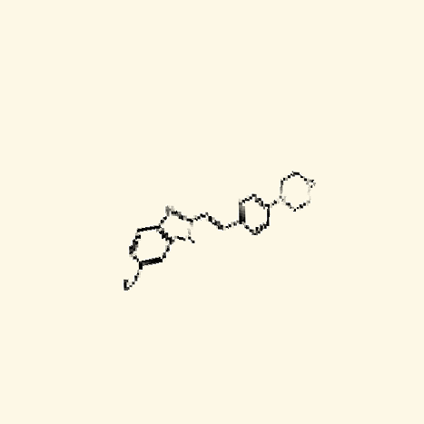 Brc1ccc2nc(C=Cc3ccc(N4CCOCC4)cc3)sc2c1